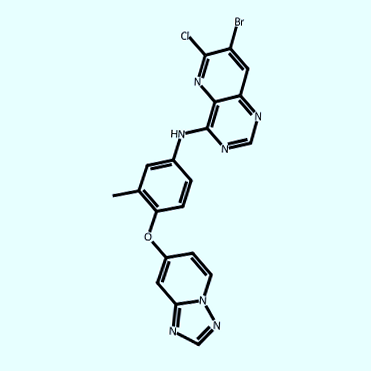 Cc1cc(Nc2ncnc3cc(Br)c(Cl)nc23)ccc1Oc1ccn2ncnc2c1